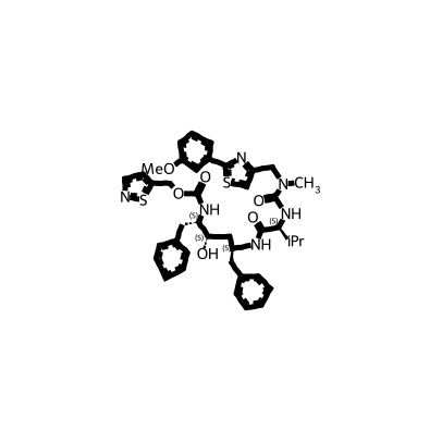 COc1cccc(-c2nc(CN(C)C(=O)N[C@H](C(=O)N[C@@H](Cc3ccccc3)C[C@H](O)[C@H](Cc3ccccc3)NC(=O)OCc3ccns3)C(C)C)cs2)c1